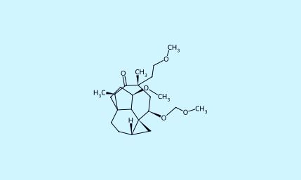 COCC[C@]1(C)C[C@@H](OCOC)[C@]23C[C@@H]2CCC2(CC[C@@H](OC)C23)[C@@H](C)C1=O